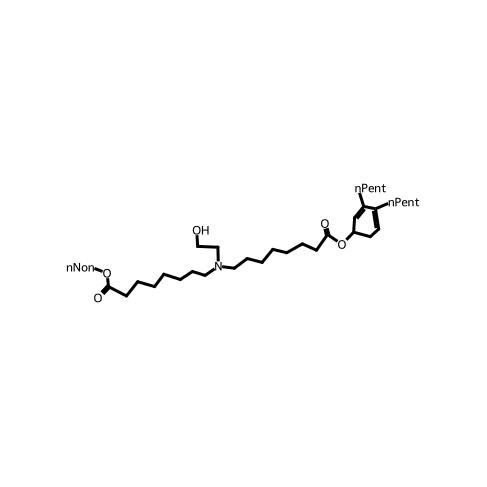 CCCCCCCCCOC(=O)CCCCCCCN(CCO)CCCCCCCC(=O)OC1C=C(CCCCC)C(CCCCC)=CC1